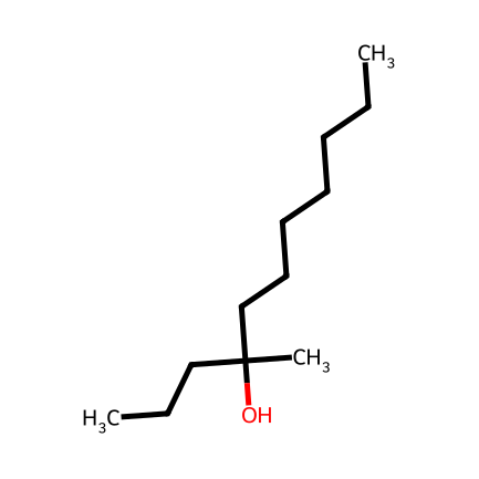 CCCCCCCC(C)(O)CCC